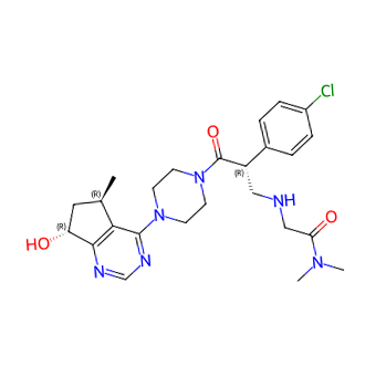 C[C@@H]1C[C@@H](O)c2ncnc(N3CCN(C(=O)[C@@H](CNCC(=O)N(C)C)c4ccc(Cl)cc4)CC3)c21